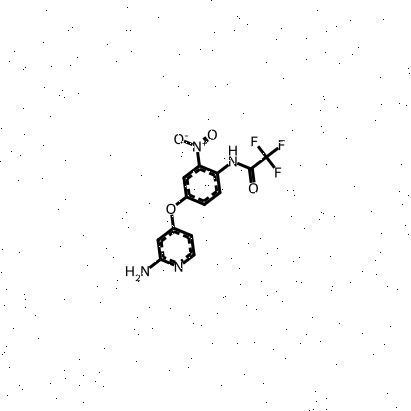 Nc1cc(Oc2ccc(NC(=O)C(F)(F)F)c([N+](=O)[O-])c2)ccn1